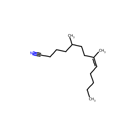 CCCCC=C(C)CCC(C)CCCC#N